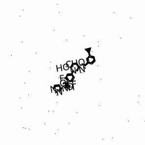 CN(C)[C@]1(CCc2cccc(C3CC3)c2)CCCN(c2cc(F)c(S(=O)(=O)Nc3ccncn3)c(F)c2)C1.O=CO